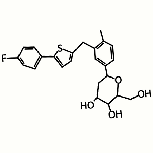 Cc1ccc(C2CC(O)C(O)C(CO)O2)cc1Cc1ccc(-c2ccc(F)cc2)s1